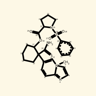 C[N+]12C=CN=C1C=CC(C1(C(N)=S)CCCCC1OC(=O)C1CCCN1S(=O)(=O)c1ccccc1)=C2